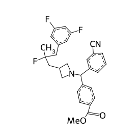 COC(=O)c1ccc(C(c2cccc(C#N)c2)N2CC(CC(C)(F)Cc3cc(F)cc(F)c3)C2)cc1